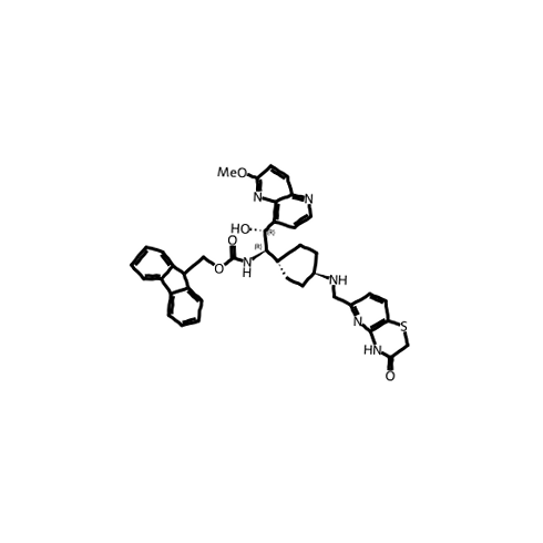 COc1ccc2nccc([C@@H](O)[C@H](NC(=O)OCC3c4ccccc4-c4ccccc43)[C@H]3CC[C@H](NCc4ccc5c(n4)NC(=O)CS5)CC3)c2n1